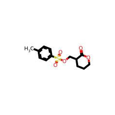 Cc1ccc(S(=O)(=O)OCC2CCCOC2=O)cc1